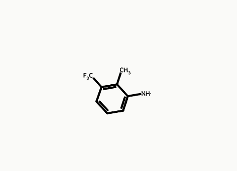 Cc1c([NH])cccc1C(F)(F)F